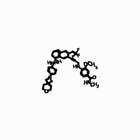 CNC(=O)c1ccc(NCC#CC2=Cc3c(cccc3NNc3ccc(N4CC5(CCOCC5)C4)cc3)CC2CC(F)(F)F)c(OC)c1